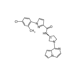 Cc1cc(Cl)ccc1-n1ccc(C(=O)N[C@H]2CCN(c3nccn4cccc34)C2)n1